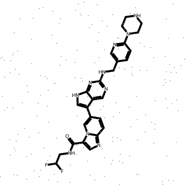 O=C(NCC(F)F)c1cnc2ccc(-c3c[nH]c4nc(NCc5ccc(N6CCNCC6)nc5)ncc34)cn12